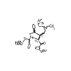 CN(C)/C=C1\C(=O)CN(C(=O)OC(C)(C)C)[C@@H]1C(=O)OC(C)(C)C